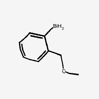 COCc1cccc[c]1[BiH2]